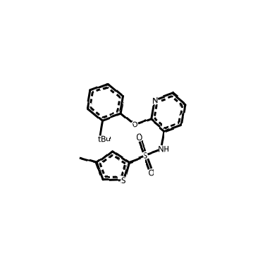 Cc1csc(S(=O)(=O)Nc2cccnc2Oc2ccccc2C(C)(C)C)c1